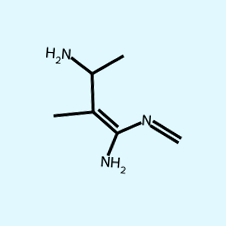 C=N/C(N)=C(/C)C(C)N